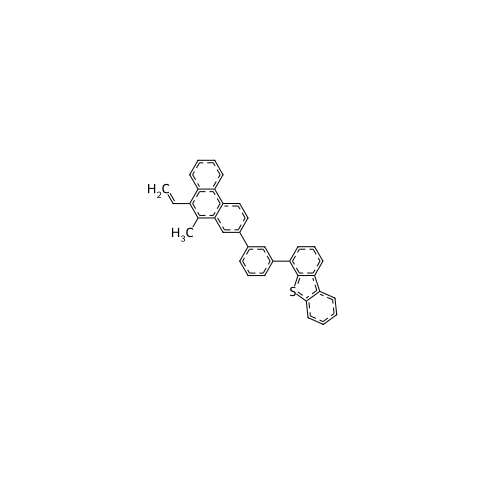 C=Cc1c(C)c2cc(-c3cccc(-c4cccc5c4sc4ccccc45)c3)ccc2c2ccccc12